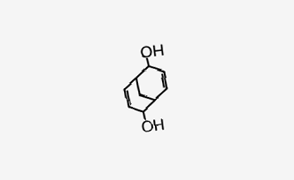 OC1C=CC2CC1C=CC2O